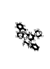 FC(F)c1nc2ccccc2n1-c1cc(N2CCOCC2)nc(NCc2ccccc2N2CCOCC2)n1